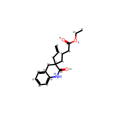 C=CCC1(CCCC(=O)OCC)Cc2ccccc2NC1=O